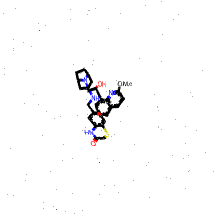 COc1ccc2cccc(C(O)CN3C4CCC3CC(NCc3ccc5c(c3)NC(=O)CS5)C4)c2n1